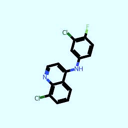 Fc1ccc(Nc2ccnc3c(Cl)cccc23)cc1Cl